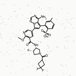 COc1ncc(-c2cc(-c3cc(C)ccc3S(=O)(=O)O)c3c(N)ncnn23)cc1C(=O)N[C@@H]1CN(C(=O)C2CC(F)(F)C2)C[C@@H]1F